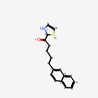 O=C(CCCCc1ccc2ccccc2c1)C1NC=CS1